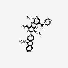 Cn1c(N2CCC3(CC2)Cc2ccccc2[C@H]3N)nc(N)c(Sc2cc(C(=O)N3CCOCC3)cnc2C(F)(F)F)c1=O